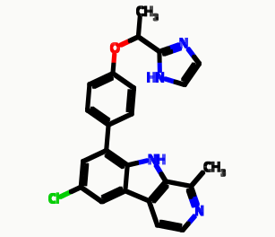 Cc1nccc2c1[nH]c1c(-c3ccc(OC(C)c4ncc[nH]4)cc3)cc(Cl)cc12